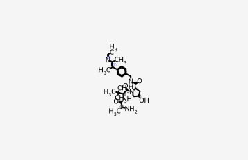 C/C=N\C(C)=C(/C)c1ccc(CNC(=O)[C@@H]2C[C@@H](O)CN2C(=O)[C@@H](NC(=O)[C@H](C)N)C(C)(C)C)cc1